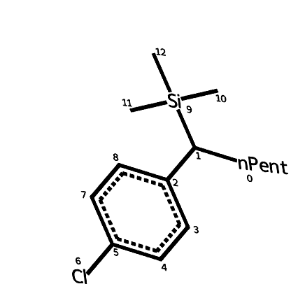 CCCCCC(c1ccc(Cl)cc1)[Si](C)(C)C